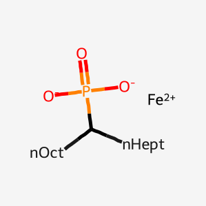 CCCCCCCCC(CCCCCCC)P(=O)([O-])[O-].[Fe+2]